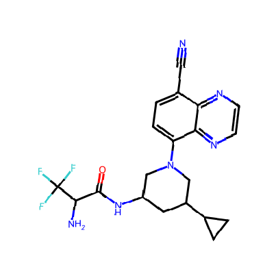 N#Cc1ccc(N2CC(NC(=O)C(N)C(F)(F)F)CC(C3CC3)C2)c2nccnc12